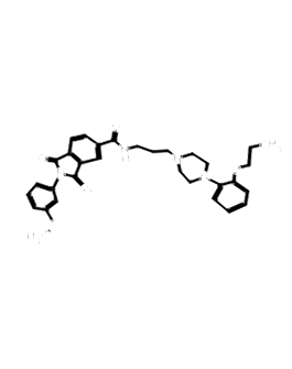 CCCOc1ccccc1N1CCN(CCCNC(=O)c2ccc3c(c2)C(=O)N(c2cccc(OC)c2)C3=O)CC1